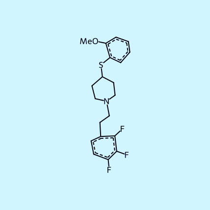 COc1ccccc1SC1CCN(CCc2ccc(F)c(F)c2F)CC1